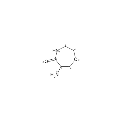 NC1COCCNC1=O